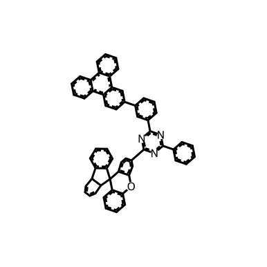 C1=CC2c3ccccc3C3(c4ccccc4Oc4cc(-c5nc(-c6ccccc6)nc(-c6cccc(-c7ccc8c9ccccc9c9ccccc9c8c7)c6)n5)ccc43)C2C=C1